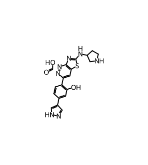 O=CO.Oc1cc(-c2cn[nH]c2)ccc1-c1cc2sc(NC3CCNC3)nc2nn1